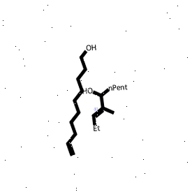 C=CCCCCCCCCO.CC/C=C(\C)C(O)CCCCC